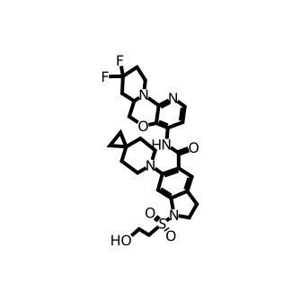 O=C(Nc1ccnc2c1OCC1CC(F)(F)CCN21)c1cc2c(cc1N1CCC3(CC1)CC3)N(S(=O)(=O)CCO)CC2